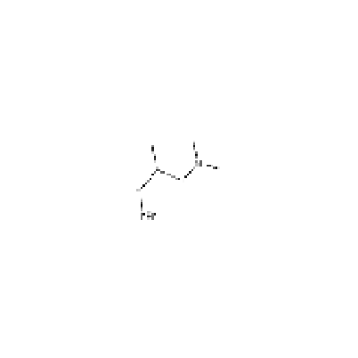 CCC[CH]C(C)CN(C)C